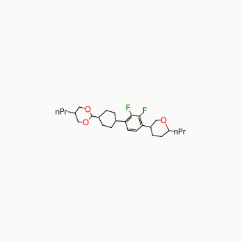 CCCC1COC(C2CCC(c3ccc(C4CCC(CCC)OC4)c(F)c3F)CC2)OC1